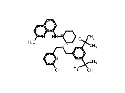 Cc1cccc(CN(Cc2cc(C(C)(C)C)cc(C(C)(C)C)c2)[C@H]2CCCC[C@@H]2Nc2cccc3ccc(C)nc23)n1